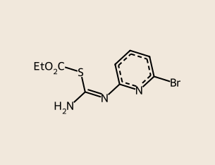 CCOC(=O)SC(N)=Nc1cccc(Br)n1